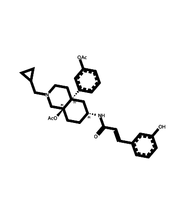 CC(=O)Oc1cccc([C@@]23CCN(CC4CC4)C[C@@]2(OC(C)=O)CC[C@@H](NC(=O)C=Cc2cccc(O)c2)C3)c1